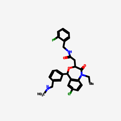 CC(C)(C)CN1C(=O)C(CC(=O)NCc2ccccc2F)OC(c2cccc(CNC(=O)O)c2)c2cc(Cl)ccc21